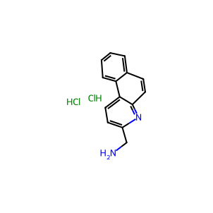 Cl.Cl.NCc1ccc2c(ccc3ccccc32)n1